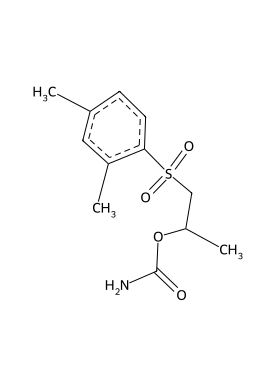 Cc1ccc(S(=O)(=O)CC(C)OC(N)=O)c(C)c1